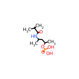 C=C(C)C(=O)NC(C)CC(C)OP(=O)(O)O